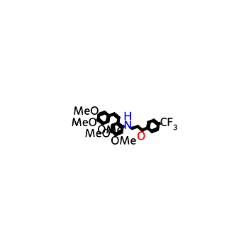 COc1cc(/C=C\c2cc(OC)c(OC)c(OC)c2)c(NCCC(=O)c2ccc(C(F)(F)F)cc2)cc1OC